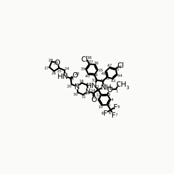 CCOc1cc(C(F)(F)F)ccc1C1(C(=O)N2CCN(CC(=O)NCC3CCCO3)CC2)NC(c2ccc(Cl)cc2)C(c2ccc(Cl)cc2)N1